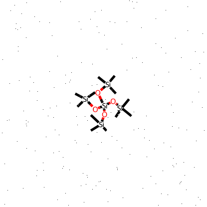 C[Si](C)(C)O[Si](O[Si](C)(C)C)(O[Si](C)(C)C)O[Si](C)(C)C